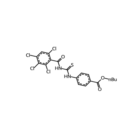 CCCCOC(=O)c1ccc(NC(=S)NC(=O)c2c(Cl)cc(Cl)c(Cl)c2Cl)cc1